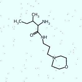 CCC(C)C(N)C(=O)NCCCN1CCOCC1